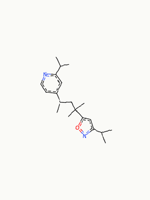 CC(C)c1cc(C(C)CC(C)(C)c2cc(C(C)C)no2)ccn1